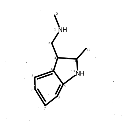 CNCC1c2ccccc2NC1C